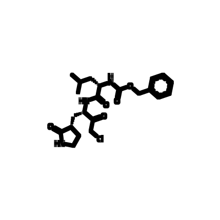 CC(C)C[C@H](NC(=O)OCc1ccccc1)C(=O)N[C@@H](C[C@@H]1CCNC1=O)C(=O)CCl